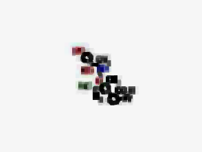 Cc1cc(-c2cccc(C(C)C)c2C(=O)O)cc(C)c1OCCN[C@@H](C)[C@H](O)c1ccc(O)cc1.Cl